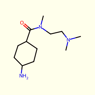 CN(C)CCN(C)C(=O)C1CCC(N)CC1